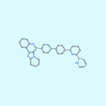 C1=CNC(c2cccc(-c3ccc(-c4ccc(-c5nc6ccccc6c6nc7ccccn7c56)cc4)cc3)n2)C=C1